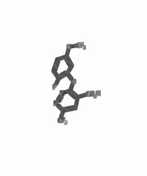 O=C(O)c1cc(C(F)(F)F)nnc1Oc1cc(OC(F)(F)F)ccc1F